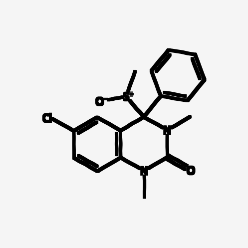 CN1C(=O)N(C)C(c2ccccc2)([S+](C)[O-])c2cc(Cl)ccc21